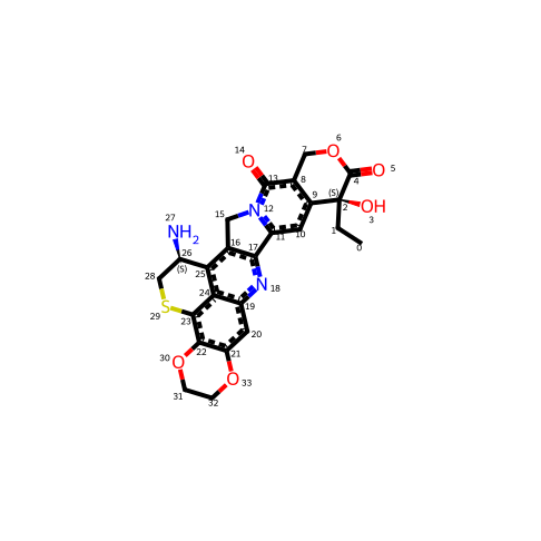 CC[C@@]1(O)C(=O)OCc2c1cc1n(c2=O)Cc2c-1nc1cc3c(c4c1c2[C@H](N)CS4)OCCO3